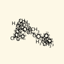 Cc1cc(S(=O)(=O)C(C)CCOC2CCC(CO[Si](c3ccccc3)(c3ccccc3)C(C)(C)C)CC2)ccc1N(C(=O)OC(C)(C)C)c1ncc2cc(Cl)c(=O)n(C3CCCC3)c2n1